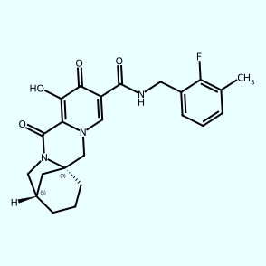 Cc1cccc(CNC(=O)c2cn3c(c(O)c2=O)C(=O)N2C[C@H]4CCC[C@@]2(C4)C3)c1F